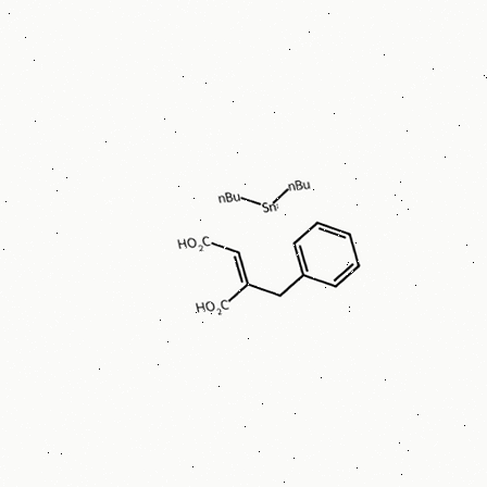 CCC[CH2][Sn][CH2]CCC.O=C(O)C=C(Cc1ccccc1)C(=O)O